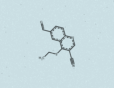 CCSc1c(C#N)cnc2ccc(C=O)cc12